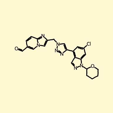 O=Cc1ccc2nc(Cn3cc(-c4cc(Cl)cc5c4cnn5C4CCCCO4)nn3)cn2c1